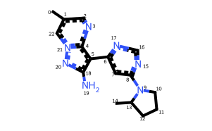 Cc1cnc2c(-c3cc(N4CCCC4C)ncn3)c(N)nn2c1